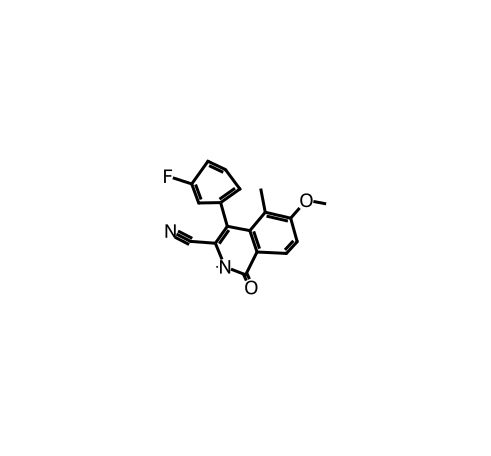 COc1ccc2c(c1C)C(c1cccc(F)c1)=C(C#N)[N]C2=O